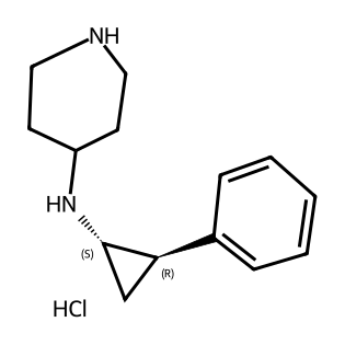 Cl.c1ccc([C@H]2C[C@@H]2NC2CCNCC2)cc1